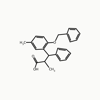 Cc1ccc(OCc2ccccc2)c(C(c2ccccc2)C(C)C(=O)O)c1